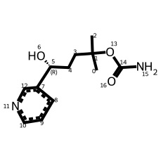 CC(C)(CC[C@@H](O)c1cccnc1)OC(N)=O